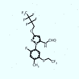 Cc1cc(F)c(-n2nc(OCC(F)(F)C(F)(F)C(F)(F)F)cc2NC=O)cc1SCC(F)(F)F